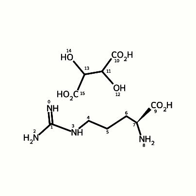 N=C(N)NCCC[C@H](N)C(=O)O.O=C(O)C(O)C(O)C(=O)O